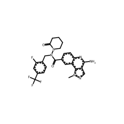 Cn1ncc2c(N)nc3ccc(C(=O)N(Cc4ccc(C(F)(F)F)cc4F)N4CCCCC4=O)cc3c21